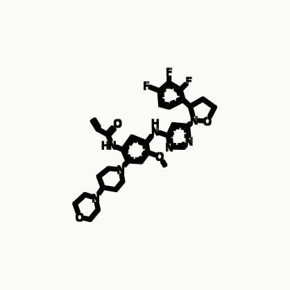 C=CC(=O)Nc1cc(Nc2cc(N3OCCC3c3ccc(F)c(F)c3F)ncn2)c(OC)cc1N1CCC(N2CCOCC2)CC1